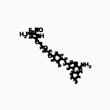 Cc1ccc2c(c1)nc(N)c1ncc(CCc3ccc(OCCOCCOCCC(F)(P)P(O)N=O)cc3C)cc12